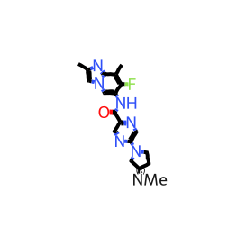 CN[C@@H]1CCN(c2cnc(C(=O)Nc3cn4cc(C)nc4c(C)c3F)cn2)C1